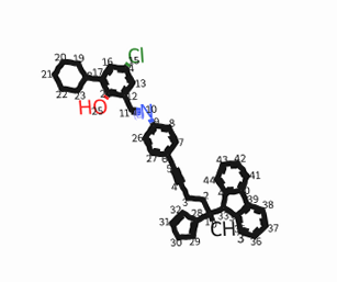 CC(CCC#Cc1ccc(/N=C/c2cc(Cl)cc(C3CCCCC3)c2O)cc1)(C1=CCC=C1)C1c2ccccc2-c2ccccc21